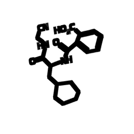 N#CCNC(=O)C(CC1CCCCC1)NC(=O)c1ccccc1C(=O)O